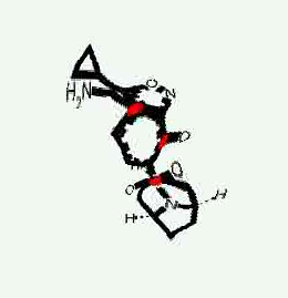 NCc1ccc(S(=O)(=O)N2[C@@H]3CC[C@H]2C[C@@H](NC(=O)c2cc(C4CC4)on2)C3)cc1